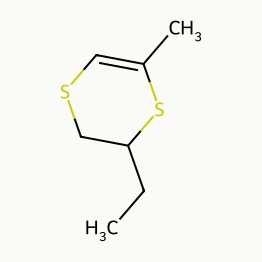 CCC1CSC=C(C)S1